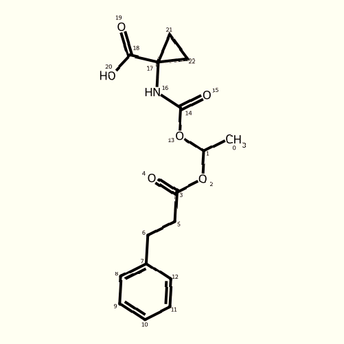 CC(OC(=O)CCc1ccccc1)OC(=O)NC1(C(=O)O)CC1